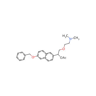 CC(=O)OC(COCCN(C)C)c1ccc2cc(OCc3ccccc3)ccc2c1